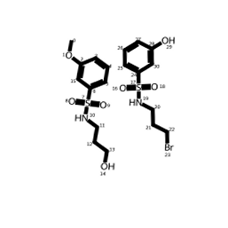 COc1cccc(S(=O)(=O)NCCCO)c1.O=S(=O)(NCCCBr)c1cccc(O)c1